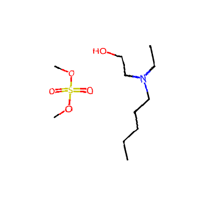 CCCCCN(CC)CCO.COS(=O)(=O)OC